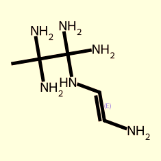 CC(N)(N)C(N)(N)N/C=C/N